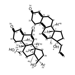 C=CC[C@]1(O)CC[C@H]2[C@@H]3CCC4=CC(=O)CCC4=C3C=C[C@@]21C.CC(=O)O.CC(=O)[C@@]1(O)CC[C@H]2[C@@H]3C=C(Cl)C4=CC(=O)CC[C@@H]4[C@H]3CC[C@@]21C